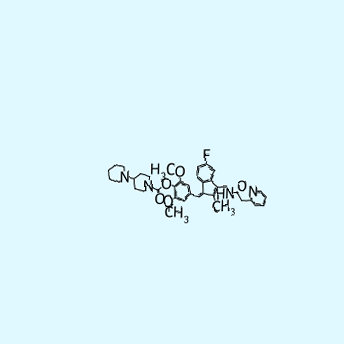 COc1cc(/C=C2/C(C)=C(CNC(=O)Cc3ccccn3)c3cc(F)ccc32)cc(OC)c1OC(=O)N1CCC(N2CCCCC2)CC1